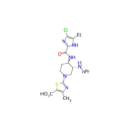 CCCN[C@@H]1CN(c2nc(C)c(C(=O)O)s2)CC[C@H]1NC(=O)c1nc(Cl)c(CC)[nH]1